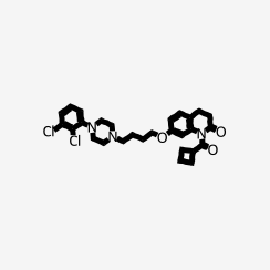 O=C1CCc2ccc(OCCCCN3CCN(c4cccc(Cl)c4Cl)CC3)cc2N1C(=O)C1CCC1